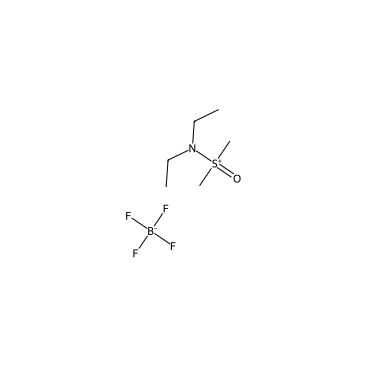 CCN(CC)[S+](C)(C)=O.F[B-](F)(F)F